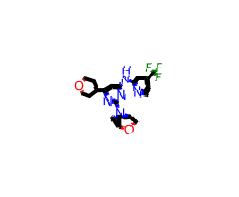 FC(F)(F)c1ccnc(Nc2cc(C3CCOCC3)nc(N3CC4CC3CO4)n2)c1